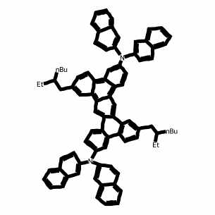 CCCCC(CC)Cc1ccc2c(c1)c1cc3c4ccc(N(c5ccc6ccccc6c5)c5ccc6ccccc6c5)cc4c4ccc(CC(CC)CCCC)cc4c3cc1c1ccc(N(c3ccc4ccccc4c3)c3ccc4ccccc4c3)cc21